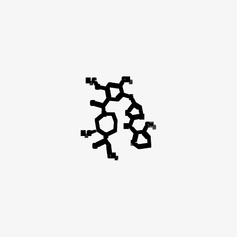 C=CC(=O)N1CCCN(C(=O)c2cc(Sc3cnc(Nc4ncccc4C)s3)c(C)cc2OC)C[C@H]1C